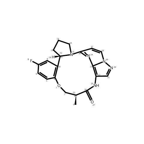 C[C@H]1COc2ccc(F)cc2[C@@H]2CCCN2c2ccn3ncc(c3n2)NC1=O